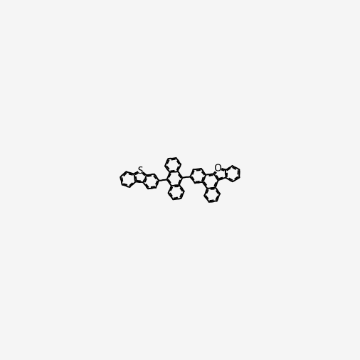 c1ccc2c(c1)oc1c3ccc(-c4c5ccccc5c(-c5ccc6c(c5)sc5ccccc56)c5ccccc45)cc3c3ccccc3c21